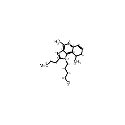 COCCc1nc2c(N)nc3c(c2n1CCCCCl)C(C)CC=C3